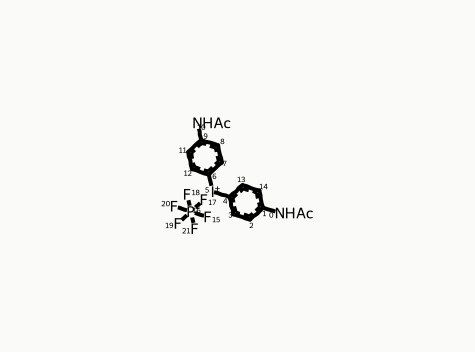 CC(=O)Nc1ccc([I+]c2ccc(NC(C)=O)cc2)cc1.F[P-](F)(F)(F)(F)F